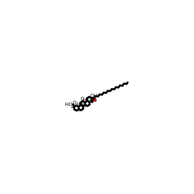 CCCCCCCCCCCCCCCCCC(=O)[C@]1(O)CC[C@@]2(C)C(CC[C@]3(C)[C@@H]2C(=O)C=C2[C@H]4C[C@@](C)(C(=O)O)CC[C@]4(C)CC[C@]23C)C1(C)C